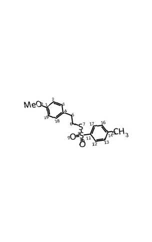 COc1ccc(CCSS(=O)(=O)c2ccc(C)cc2)cc1